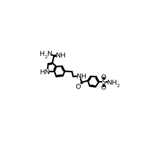 N=C(N)c1c[nH]c2ccc(CCNC(=O)c3ccc(S(N)(=O)=O)cc3)cc12